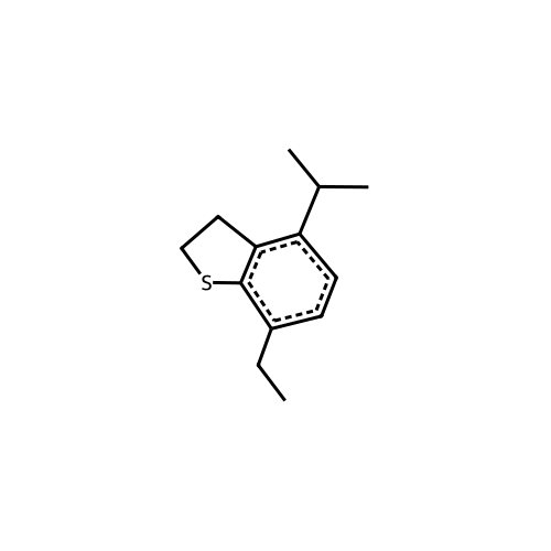 CCc1ccc(C(C)C)c2c1SCC2